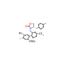 COc1cc(F)c(C(C)C)cc1-c1ccc(C(F)(F)F)cc1CN1C(=O)OC[C@@H]1Cc1ccc(C)cc1